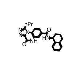 CCCc1nnc2c(=O)[nH]c3cc(C(=O)NC4CCCc5ccccc54)ccc3n12